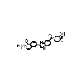 Cn1ccc2cc(-c3cnc4ccc(C(=O)N5CCC(F)(F)C(O)C5)cc4n3)ccc2c1=O